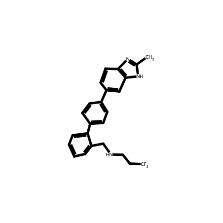 Cc1nc2ccc(-c3ccc(-c4ccccc4CNCCC(F)(F)F)cc3)cc2[nH]1